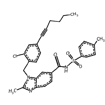 CCCCC#Cc1ccc(Cn2c(C)nc3ccc(C(=O)NS(=O)(=O)c4ccc(C)cc4)cc32)c(Cl)c1